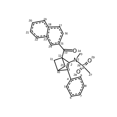 CN(C1=C(c2ccccc2)C2CC1(C(=O)c1ccc3ccccc3c1)C2)S(C)(=O)=O